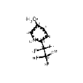 [CH2]c1ccc(C(F)(F)C(F)(F)F)nc1